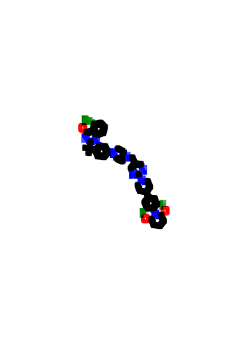 CC1(C)c2ccc(N3CC4CC3CN4Cc3cnc(N4CCC(c5cc(F)c(N6C(=O)CCCC6=O)c(F)c5)CC4)nc3)cc2-n2c1nc(=O)c1c(Br)cccc12